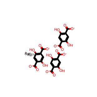 O=C([O-])c1cc(O)c(C(=O)[O-])cc1O.O=C([O-])c1cc(O)c(C(=O)[O-])cc1O.O=C([O-])c1cc(O)c(C(=O)[O-])cc1O.[Ru+3].[Ru+3]